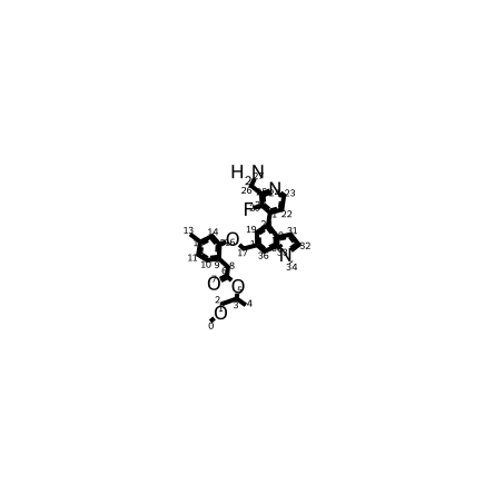 COCC(C)OC(=O)Cc1ccc(C)cc1OCc1cc(-c2ccnc(CN)c2F)c2ccn(C)c2c1